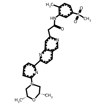 Cc1ccc(S(C)(=O)=O)cc1NC(=O)Cc1cc2nc(-c3cccc(N4C[C@@H](C)O[C@@H](C)C4)n3)ccc2cn1